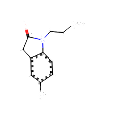 COCCN1C(=O)Cc2cc(C#N)ccc21